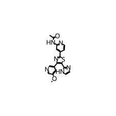 COc1cncc(-c2nc(-c3ccnc(NC(C)=O)c3)sc2-c2ncc[nH]2)c1